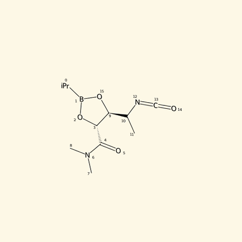 CC(C)B1O[C@@H](C(=O)N(C)C)[C@H](C(C)N=C=O)O1